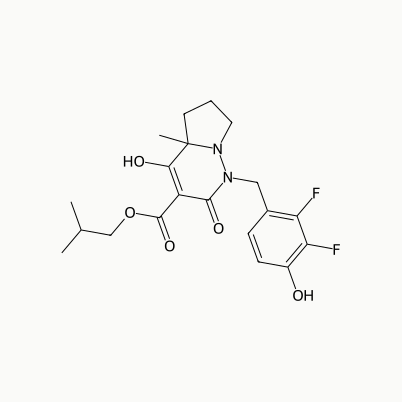 CC(C)COC(=O)C1=C(O)C2(C)CCCN2N(Cc2ccc(O)c(F)c2F)C1=O